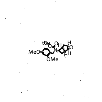 COc1ccc(CN(C(=O)OC(C)(C)C)[C@H]2C[C@@H]3[C@H]2C[C@H]2O[C@@H]32)c(OC)c1